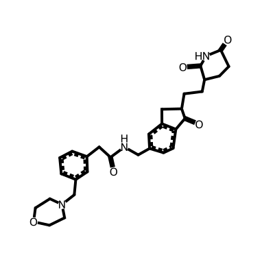 O=C(Cc1cccc(CN2CCOCC2)c1)NCc1ccc2c(c1)CC(CCC1CCC(=O)NC1=O)C2=O